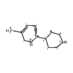 CC1=CC=C(N2CCNCC2)NC1